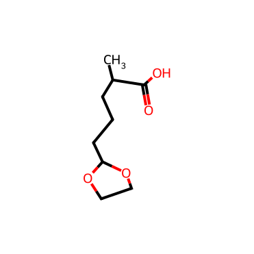 CC(CCCC1OCCO1)C(=O)O